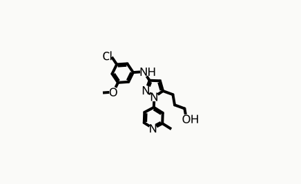 COc1cc(Cl)cc(Nc2cc(CCCO)n(-c3ccnc(C)c3)n2)c1